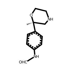 C[C@@]1(c2ccc(NC=O)cc2)CNCCO1